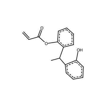 C=CC(=O)Oc1ccccc1C(C)c1ccccc1O